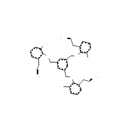 C=CCc1cccc(Cl)c1OCc1cc(COc2c(Cl)cccc2CC=C)cc(COc2c(Cl)cccc2CC=C)c1